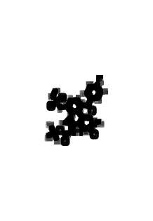 CCS(=O)(=O)Cc1ccc(C(=O)c2ccc(F)cc2)c(-c2cn(C)c(=O)cc2C2(NC(=O)OC(C)(C)C)CC2)c1